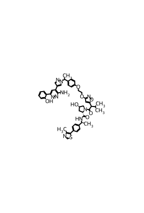 Cc1ncsc1-c1ccc([C@H](C)NC(=O)[C@@H]2C[C@@H](O)CN2C(=O)C(c2cc(OCCOc3ccc(C(C)n4cc(-c5cc(-c6ccccc6O)nnc5N)cn4)cc3)no2)C(C)C)cc1